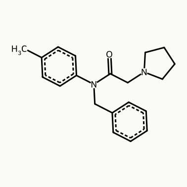 Cc1ccc(N(Cc2ccccc2)C(=O)CN2CCCC2)cc1